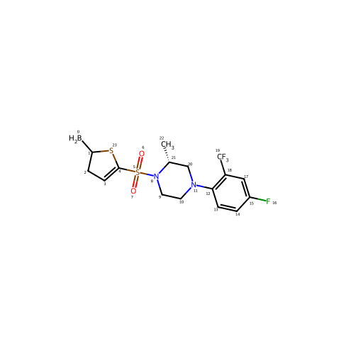 BC1CC=C(S(=O)(=O)N2CCN(c3ccc(F)cc3C(F)(F)F)C[C@H]2C)S1